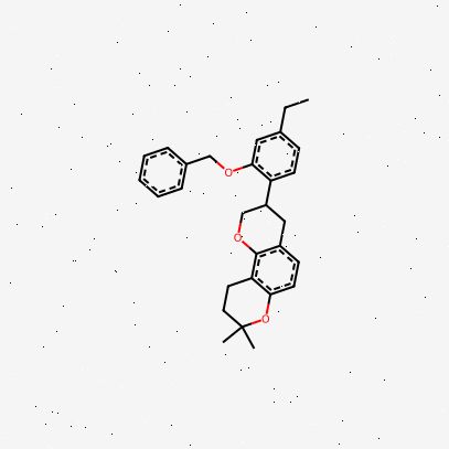 CCc1ccc(C2COc3c(ccc4c3CCC(C)(C)O4)C2)c(OCc2ccccc2)c1